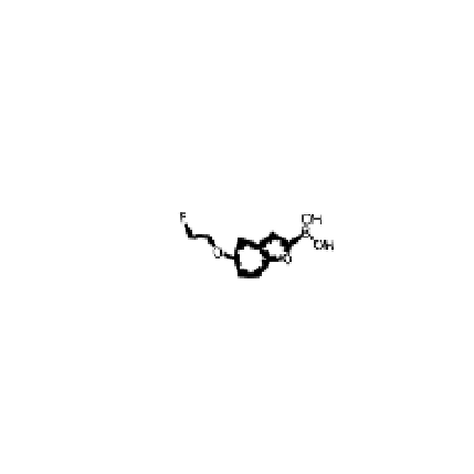 OB(O)c1cc2cc(OCCF)ccc2o1